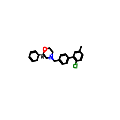 Cc1ccc(Cl)c(-c2ccc(CN3CCO[C@@H](C4C=CC=CC4)C3)cc2)c1